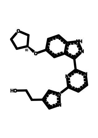 OCCc1cnn(-c2ccnc(-c3n[nH]c4ccc(O[C@H]5CCOC5)cc34)n2)c1